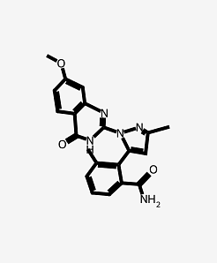 COc1ccc2c(=O)[nH]c(-n3nc(C)cc3-c3c(C)cccc3C(N)=O)nc2c1